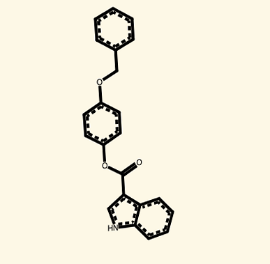 O=C(Oc1ccc(OCc2ccccc2)cc1)c1c[nH]c2ccccc12